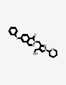 O=c1c2ccc(Sc3ccccc3)cc2cnn1Cc1nn(C2CCCCO2)cc1CO